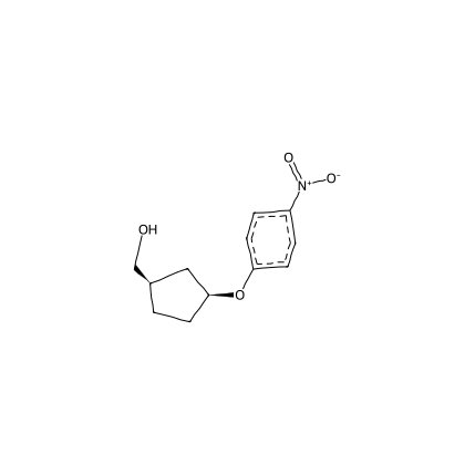 O=[N+]([O-])c1ccc(O[C@H]2CC[C@@H](CO)C2)cc1